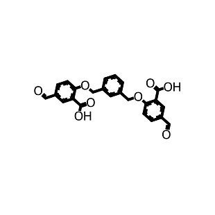 O=Cc1ccc(OCc2cccc(COc3ccc(C=O)cc3C(=O)O)c2)c(C(=O)O)c1